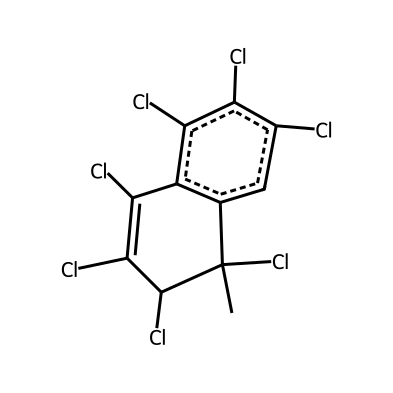 CC1(Cl)c2cc(Cl)c(Cl)c(Cl)c2C(Cl)=C(Cl)C1Cl